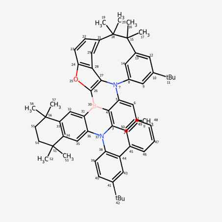 Cc1cc2c3c(c1)N1c4cc(C(C)(C)C)cc(c4)C(C)(C)C(C)(C)c4ccc5oc(c1c5c4)B3c1cc3c(cc1N2c1ccc(C(C)(C)C)cc1-c1ccccc1)C(C)(C)CCC3(C)C